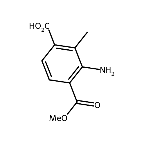 COC(=O)c1ccc(C(=O)O)c(C)c1N